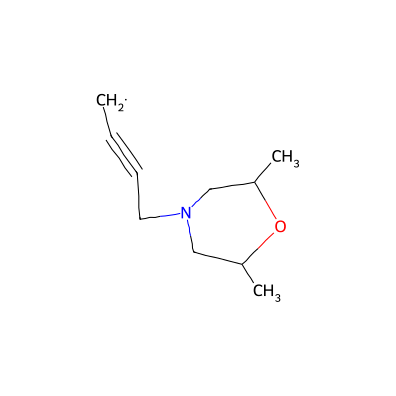 [CH2]C#CCN1CC(C)OC(C)C1